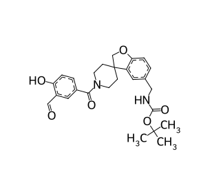 CC(C)(C)OC(=O)NCc1ccc2c(c1)C1(CCN(C(=O)c3ccc(O)c(C=O)c3)CC1)CO2